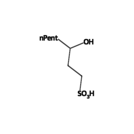 CCCCCC(O)CCS(=O)(=O)O